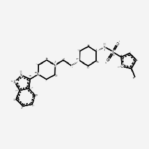 Cc1ccc(S(=O)(=O)N[C@H]2CC[C@@H](CCN3CCN(c4nsc5ccccc45)CC3)CC2)o1